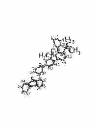 CC1(C)c2ccccc2-c2c1ccc1c2C(C)(C)c2cc(-c3cccc(-c4cccc5c4sc4ccccc45)c3)ccc2-1